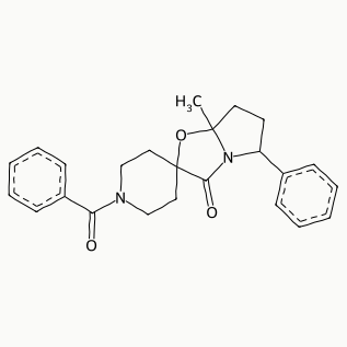 CC12CCC(c3ccccc3)N1C(=O)C1(CCN(C(=O)c3ccccc3)CC1)O2